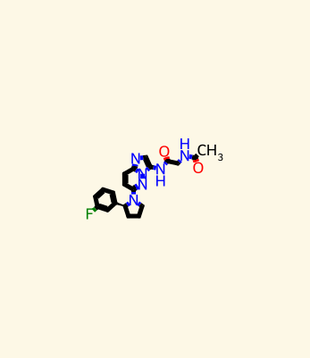 CC(=O)NCC(=O)Nc1cnc2ccc(N3CCC[C@H]3c3cccc(F)c3)nn12